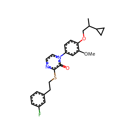 COc1cc(-n2ccnc(SCCc3cccc(F)c3)c2=O)ccc1OCC(C)C1CC1